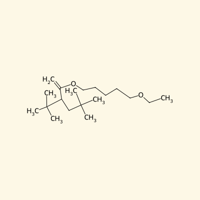 C=C(OCCCCCOCC)C(CC(C)(C)C)C(C)(C)C